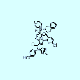 Cc1c(C(=O)N(c2ccc(O)cc2)c2cnn(C)c2)cc(-c2cc(Cl)ccc2C(=O)N2Cc3ccccc3C[C@H]2CN2CCOCC2)n1CC(F)(F)F